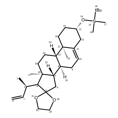 C=C[C@@H](C)C1C2(C[C@H]3[C@@H]4CC=C5C[C@@H](O[Si](C)(C)C(C)(C)C)CC[C@]5(C)[C@H]4CC[C@]13C)OCCO2